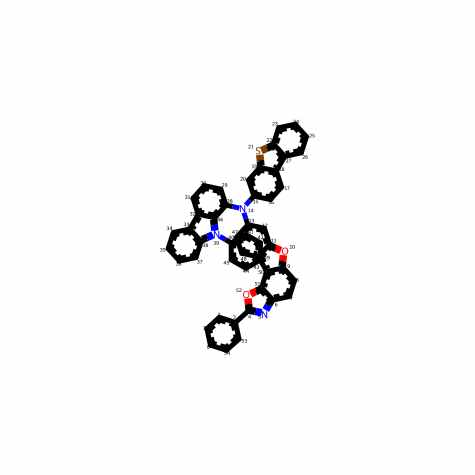 c1ccc(-c2nc3ccc4oc5cc(N(c6ccc7c(c6)sc6ccccc67)c6cccc7c8ccccc8n(-c8ccccc8)c67)ccc5c4c3o2)cc1